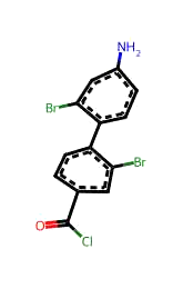 Nc1ccc(-c2ccc(C(=O)Cl)cc2Br)c(Br)c1